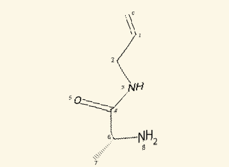 C=CCNC(=O)[C@@H](C)N